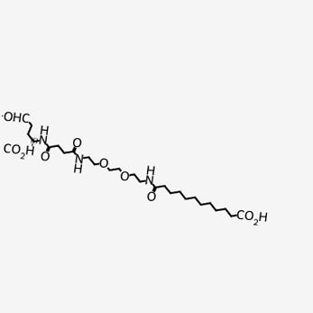 O=[C]CC[C@H](NC(=O)CCC(=O)NCCOCCOCCNC(=O)CCCCCCCCCCC(=O)O)C(=O)O